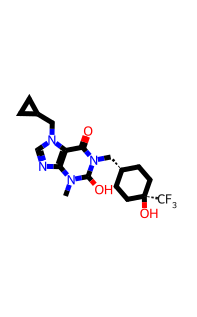 CN1c2ncn(CC3CC3)c2C(=O)N(C[C@H]2CC[C@@](O)(C(F)(F)F)CC2)C1O